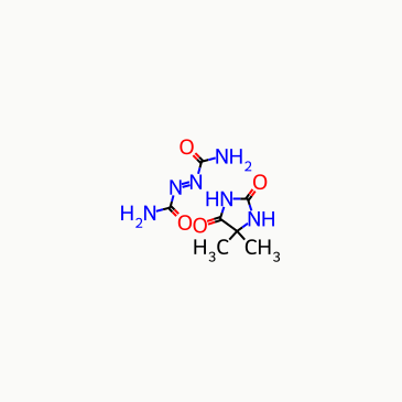 CC1(C)NC(=O)NC1=O.NC(=O)/N=N/C(N)=O